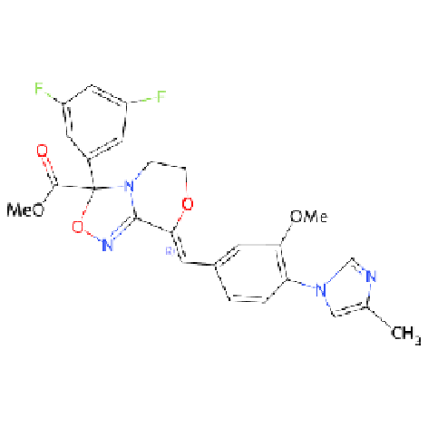 COC(=O)C1(c2cc(F)cc(F)c2)ON=C2/C(=C/c3ccc(-n4cnc(C)c4)c(OC)c3)OCCN21